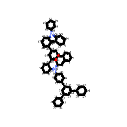 C1=c2ccccc2=CC(N(c2ccc(-c3cc(-c4ccccc4)cc(-c4ccccc4)c3)cc2)c2ccccc2-c2cccc(-c3cccc4c3c3ccccc3n4-c3ccccc3)c2)C1